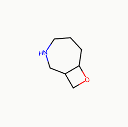 C1CNCC2COC2C1